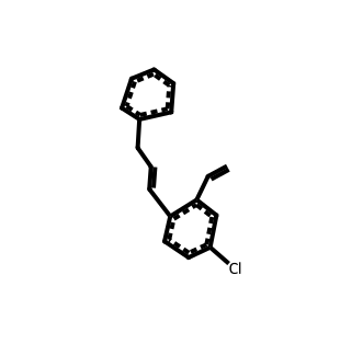 C=Cc1cc(Cl)ccc1C=CCc1ccccc1